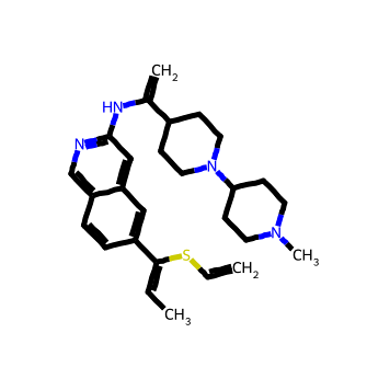 C=CS/C(=C\C)c1ccc2cnc(NC(=C)C3CCN(C4CCN(C)CC4)CC3)cc2c1